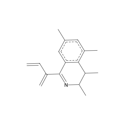 C=CC(=C)C1=NC(C)C(C)c2c(C)cc(C)cc21